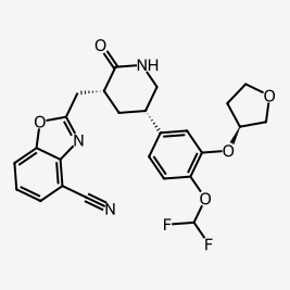 N#Cc1cccc2oc(C[C@H]3C[C@@H](c4ccc(OC(F)F)c(O[C@H]5CCOC5)c4)CNC3=O)nc12